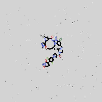 Cc1cc2cc(n1)-c1cnn(C)c1OCCC[C@@H](C)CN1/C(=N/C2=O)Nc2c(Cl)cc(CN3CCN(C(=O)[C@@H]4CCN(c5cc(F)c([C@H]6CCC(=O)NC6=O)c(F)c5)C4)CC3)cc21